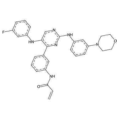 C=CC(=O)Nc1cccc(-c2nc(Nc3cccc(N4CCOCC4)c3)ncc2Nc2cccc(F)c2)c1